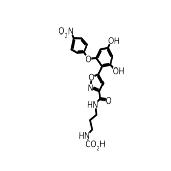 O=C(O)NCCCNC(=O)c1cc(-c2c(O)cc(O)cc2Oc2ccc([N+](=O)[O-])cc2)on1